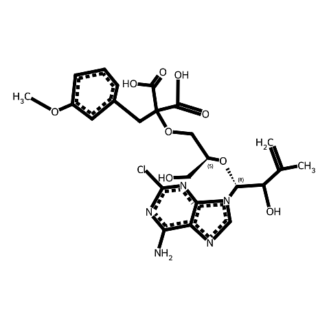 C=C(C)C(O)[C@@H](O[C@@H](CO)COC(Cc1cccc(OC)c1)(C(=O)O)C(=O)O)n1cnc2c(N)nc(Cl)nc21